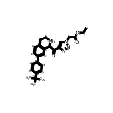 CCOC(=O)Cn1cc(C(=O)C2NCCc3ccc(-c4ccc(C(F)(F)F)cc4)cc32)nn1